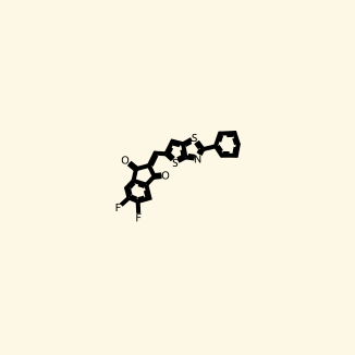 O=C1C(=Cc2cc3sc(-c4ccccc4)nc3s2)C(=O)c2cc(F)c(F)cc21